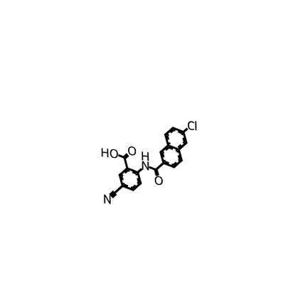 N#Cc1ccc(NC(=O)c2ccc3cc(Cl)ccc3c2)c(C(=O)O)c1